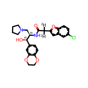 [2H]C([2H])(C(=O)N[C@H](CN1CCCC1)[C@H](O)c1ccc2c(c1)OCCO2)c1cc2cc(Cl)ccc2o1